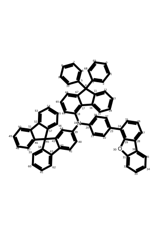 c1ccc(C2(c3ccccc3)c3ccccc3-c3c(N(c4ccc(-c5cccc6c5oc5ccccc56)cc4)c4ccc5c(c4)C4(c6ccccc6-c6ccccc64)c4ccccc4-5)cccc32)cc1